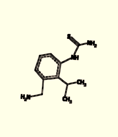 CC(C)c1c(CN)cccc1NC(N)=S